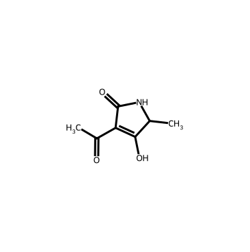 CC(=O)C1=C(O)C(C)NC1=O